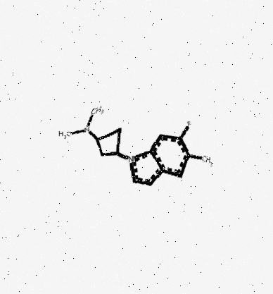 Cc1cc2ccn(C3CC(N(C)C)C3)c2cc1F